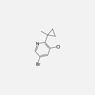 CC1(c2ncc(Br)cc2Cl)CC1